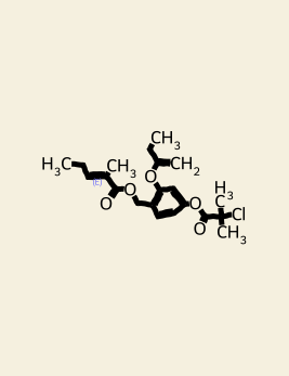 C=C(CC)Oc1cc(OC(=O)C(C)(C)Cl)ccc1COC(=O)/C(C)=C/CC